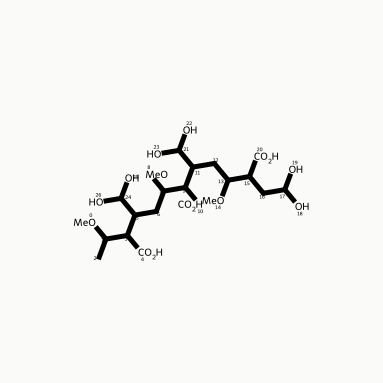 COC(C)C(C(=O)O)C(CC(OC)C(C(=O)O)C(CC(OC)C(CC(O)O)C(=O)O)C(O)O)C(O)O